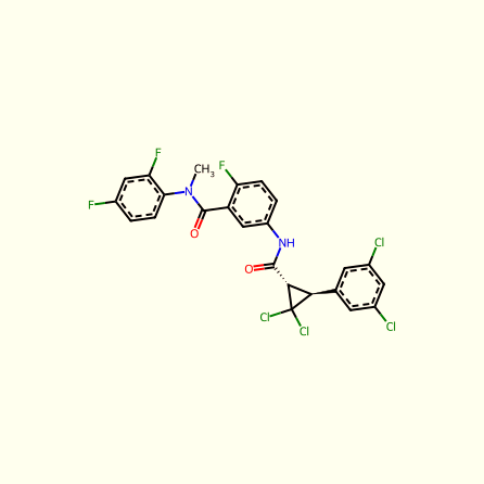 CN(C(=O)c1cc(NC(=O)[C@@H]2[C@@H](c3cc(Cl)cc(Cl)c3)C2(Cl)Cl)ccc1F)c1ccc(F)cc1F